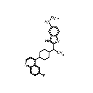 CSNc1ccc2nc(C(C)C3CCC(c4ccnc5ccc(F)cc45)CC3)[nH]c2c1